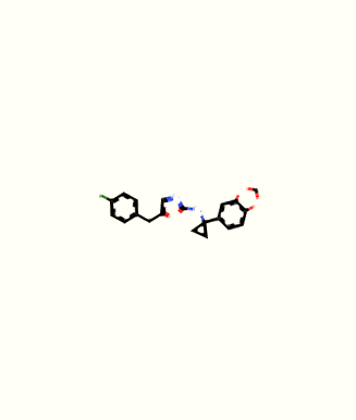 Clc1ccc(Cc2cnc(NC3(c4ccc5c(c4)OCO5)CC3)o2)cc1